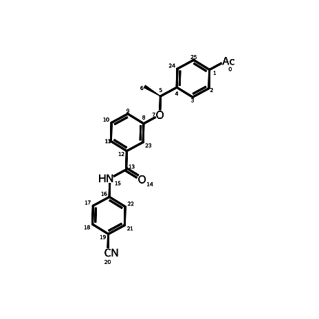 CC(=O)c1ccc([C@H](C)Oc2cccc(C(=O)Nc3ccc(C#N)cc3)c2)cc1